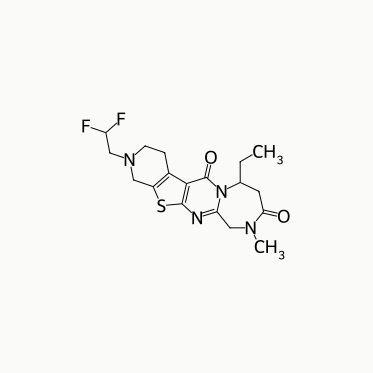 CCC1CC(=O)N(C)Cc2nc3sc4c(c3c(=O)n21)CCN(CC(F)F)C4